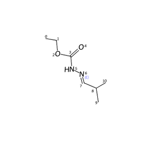 CCOC(=O)N/N=C/C(C)C